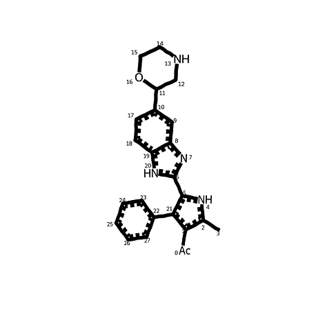 CC(=O)c1c(C)[nH]c(-c2nc3cc(C4CNCCO4)ccc3[nH]2)c1-c1ccccc1